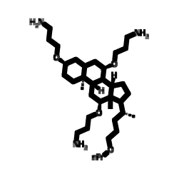 CCCOCCC[C@@H](C)C1CC[C@H]2C3[C@H](OCCCN)CC4C[C@H](OCCCN)CC[C@]4(C)[C@H]3C[C@H](OCCCN)C12C